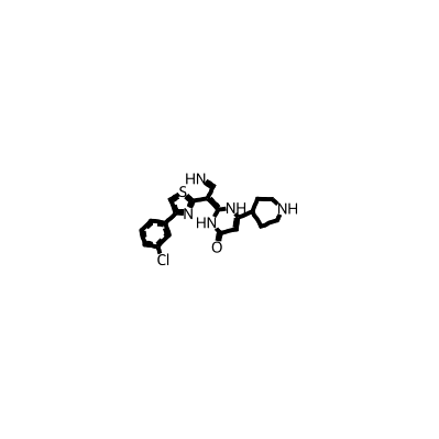 N=C/C(=C1/NC(=O)C=C(C2CCNCC2)N1)c1nc(-c2cccc(Cl)c2)cs1